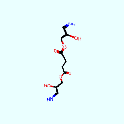 N=CC(O)COC(=O)CCC(=O)OCC(O)C=N